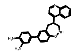 Nc1ccc(-c2ccc3c(c2)CC(c2ccnc4ccccc24)CNO3)cc1N